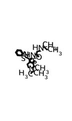 CCC(C)NCCC(=O)Nc1sc2c(c1-c1nc3ccccc3s1)CCN(C(C)C)C2C